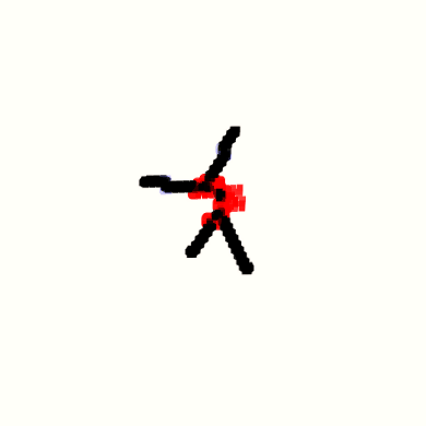 CCCCCC/C=C\C=C/CCCCCCCC(=O)OC[C@H](COP(=O)(O)OCC(O)COP(=O)(O)OC[C@@H](COC(=O)CCCCCCCCCC(C)C)OC(=O)CCCCCCCCCCCCCCCCC(C)C)OC(=O)CCCCCCC/C=C\C=C/CCCCCC